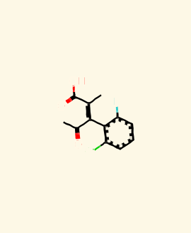 CC(=O)C(=C(C)C(=O)O)c1c(F)cccc1Cl